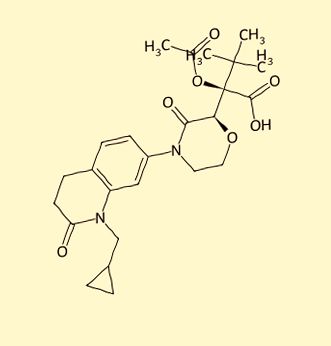 CC(=O)O[C@@](C(=O)O)([C@H]1OCCN(c2ccc3c(c2)N(CC2CC2)C(=O)CC3)C1=O)C(C)(C)C